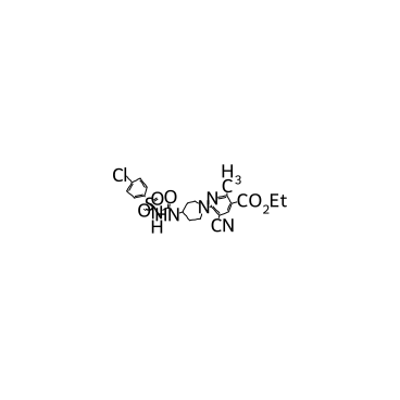 CCOC(=O)c1cc(C#N)c(N2CCC(NC(=O)NS(=O)(=O)c3ccc(Cl)cc3)CC2)nc1C